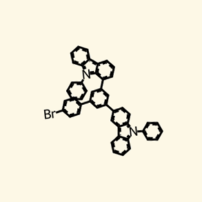 Brc1ccc(-c2cc(-c3ccc4c(c3)c3ccccc3n4-c3ccccc3)cc(-c3cccc4c5ccccc5n(-c5ccccc5)c34)c2)cc1